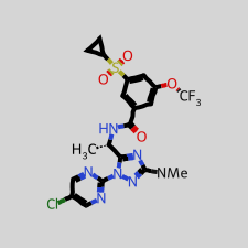 CNc1nc([C@H](C)NC(=O)c2cc(OC(F)(F)F)cc(S(=O)(=O)C3CC3)c2)n(-c2ncc(Cl)cn2)n1